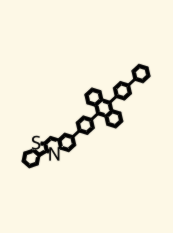 c1ccc(-c2ccc(-c3c4ccccc4c(-c4ccc(-c5ccc6nc7c(cc6c5)sc5ccccc57)cc4)c4ccccc34)cc2)cc1